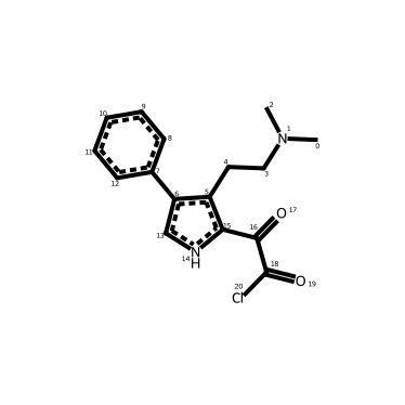 CN(C)CCc1c(-c2ccccc2)c[nH]c1C(=O)C(=O)Cl